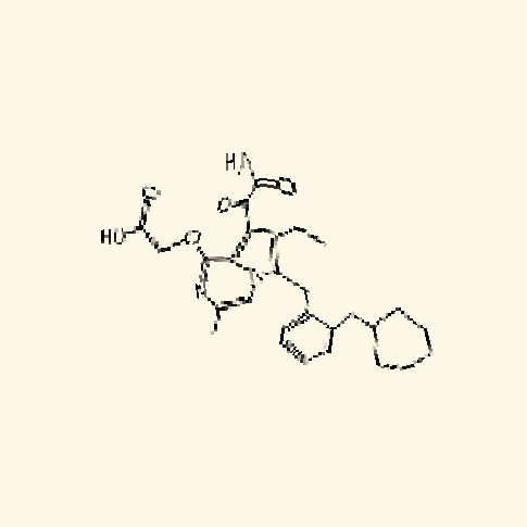 CCc1c(C(=O)C(N)=O)c2c(OCC(=O)O)nc(C)cn2c1Cc1ccccc1CC1CCCCC1